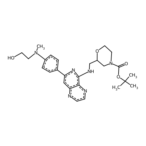 CN(CCO)c1ccc(-c2cc3nccnc3c(NCC3CN(C(=O)OC(C)(C)C)CCO3)n2)cc1